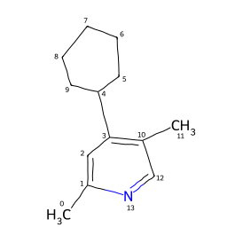 Cc1cc(C2CCCCC2)c(C)cn1